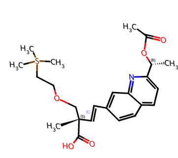 CC(=O)O[C@H](C)c1ccc2ccc(/C=C/[C@@](C)(COCCS(C)(C)C)C(=O)O)cc2n1